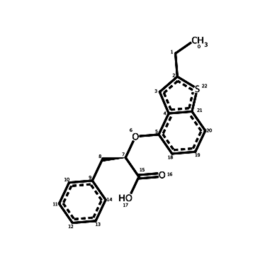 CCc1cc2c(O[C@H](Cc3ccccc3)C(=O)O)cccc2s1